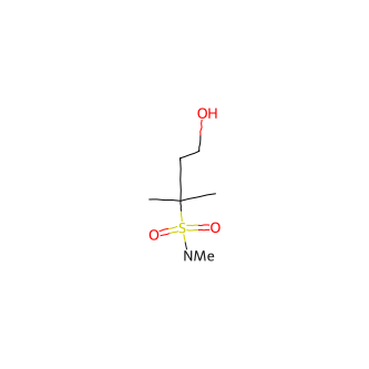 CNS(=O)(=O)C(C)(C)CCO